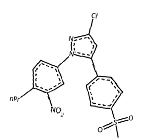 CCCc1ccc(-n2nc(Cl)cc2-c2ccc(S(C)(=O)=O)cc2)cc1[N+](=O)[O-]